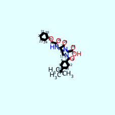 CC(C)(C)c1ccc(C(=O)N2CC3[C@H](NC(=O)COc4ccccc4)C(=O)N3C2C(=O)O)cc1